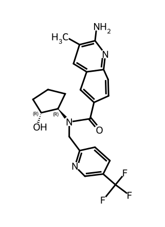 Cc1cc2cc(C(=O)N(Cc3ccc(C(F)(F)F)cn3)[C@@H]3CCC[C@H]3O)ccc2nc1N